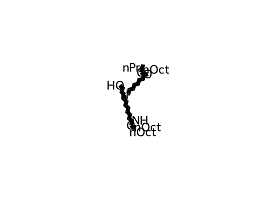 CCCCCCCCC(CCCCCCCC)OC(=N)CCCCCCCN(CCO)CCCCCCCC(=O)OC(C)(CCC)CCCCCCCC